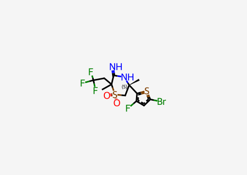 CC1(CC(F)(F)F)C(=N)N[C@](C)(c2sc(Br)cc2F)CS1(=O)=O